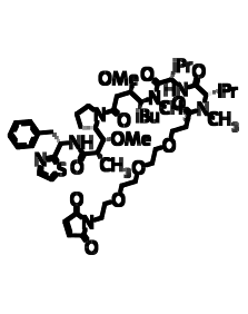 CC[C@H](C)[C@@H]([C@@H](CC(=O)N1CCC[C@H]1[C@H](OC)[C@@H](C)C(=O)N[C@@H](Cc1ccccc1)c1nccs1)OC)N(C)C(=O)[C@@H](NC(=O)[C@H](C(C)C)N(C)C(=O)CCOCCOCCOCCN1C(=O)C=CC1=O)C(C)C